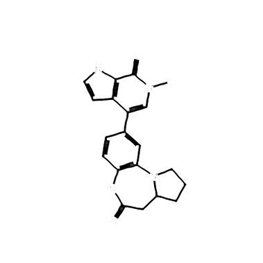 Cn1cc(-c2ccc3c(c2)N2CCCC2CC(=O)N3)c2cc[nH]c2c1=O